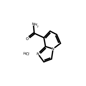 Cl.NC(=O)c1cccn2ccnc12